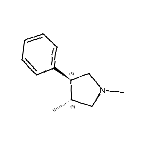 C[C@H]1CN(C)C[C@@H]1c1ccccc1